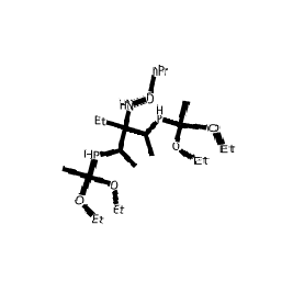 CCCONC(CC)(C(C)PC(C)(OCC)OCC)C(C)PC(C)(OCC)OCC